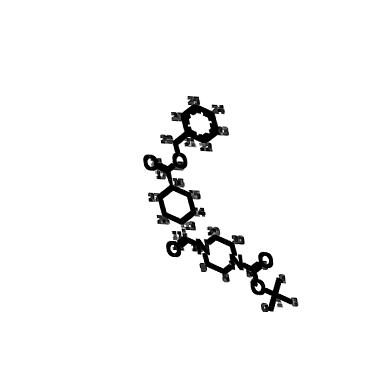 CC(C)(C)OC(=O)N1CCN(C(=O)[C@H]2CC[C@H](C(=O)OCc3ccccc3)CC2)CC1